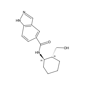 O=C(N[C@@H]1CCCC[C@H]1CO)c1ccc2[nH]ncc2c1